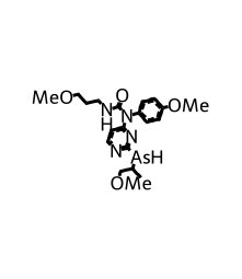 COCCCNC(=O)N(c1ccc(OC)cc1)c1ccnc([AsH]C(C)COC)n1